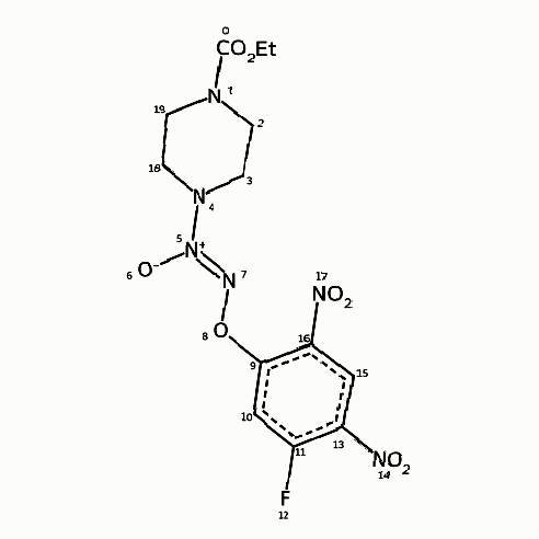 CCOC(=O)N1CCN(/[N+]([O-])=N/Oc2cc(F)c([N+](=O)[O-])cc2[N+](=O)[O-])CC1